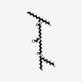 CCCCCCCCC(CCCCCC)COC(=O)CCCCCCCN(CCCl)CCCCCCCC(=O)OCC(CCCCCC)CCCCCCCC